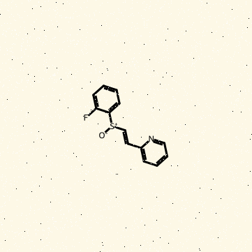 [O-][S+](/C=C/c1ccccn1)c1ccccc1F